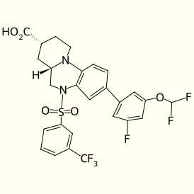 O=C(O)[C@@H]1CCN2c3ccc(-c4cc(F)cc(OC(F)F)c4)cc3N(S(=O)(=O)c3cccc(C(F)(F)F)c3)C[C@@H]2C1